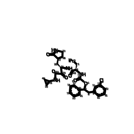 CC(C)C[C@H](NC(=O)OC(Cc1cccc(Cl)c1)c1ccccc1)C(=O)N[C@@H](C[C@@H]1CCNC1=O)C(=O)C(=O)NC1CC1